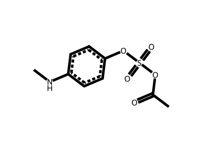 CNc1ccc(OS(=O)(=O)OC(C)=O)cc1